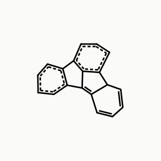 C1=CC2=C3c4ccccc4-c4cccc(c43)C2C=C1